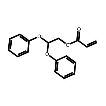 C=CC(=O)OCC(Oc1ccccc1)Oc1ccccc1